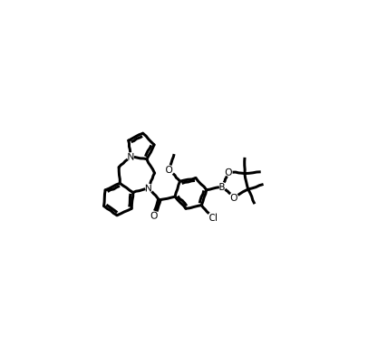 COc1cc(B2OC(C)(C)C(C)(C)O2)c(Cl)cc1C(=O)N1Cc2cccn2Cc2ccccc21